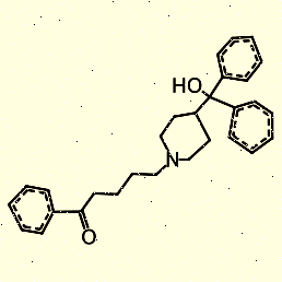 O=C(CCCCN1CCC(C(O)(c2ccccc2)c2ccccc2)CC1)c1ccccc1